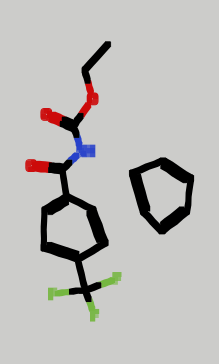 CCOC(=O)NC(=O)c1ccc(C(F)(F)F)cc1.c1ccccc1